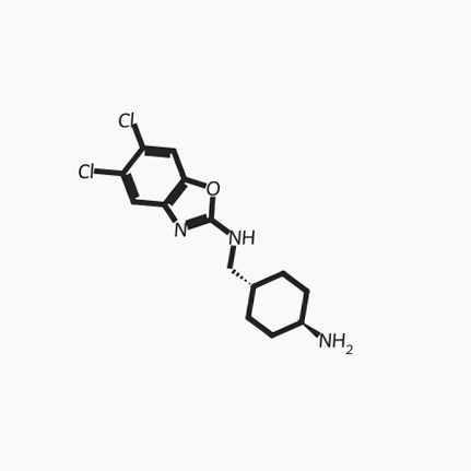 N[C@H]1CC[C@H](CNc2nc3cc(Cl)c(Cl)cc3o2)CC1